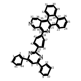 c1ccc(-c2cc(-c3ccccc3)nc(-c3ccc(-c4nc5c6ccccc6c6ccccc6c5c5ccncc45)cc3)n2)cc1